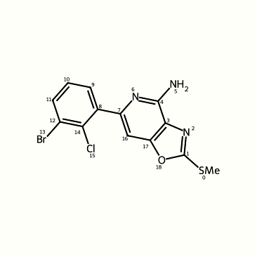 CSc1nc2c(N)nc(-c3cccc(Br)c3Cl)cc2o1